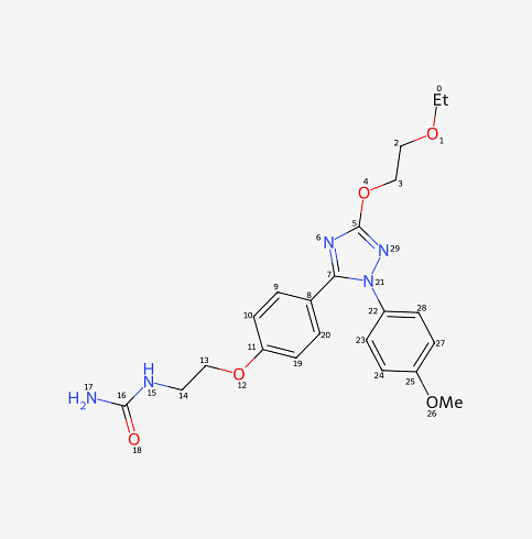 CCOCCOc1nc(-c2ccc(OCCNC(N)=O)cc2)n(-c2ccc(OC)cc2)n1